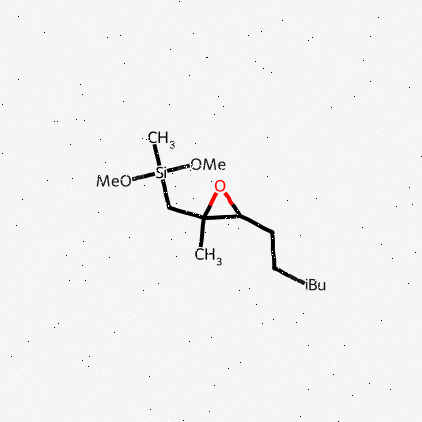 CCC(C)CCC1OC1(C)C[Si](C)(OC)OC